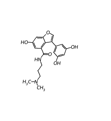 CN(C)CCCNC(=O)c1cc(O)cc2occ(-c3cc(O)cc(O)c3)c12